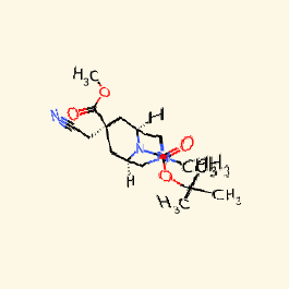 COC(=O)[C@@]1(CC#N)C[C@H]2CN(C)C[C@@H](C1)N2C(=O)OC(C)(C)C